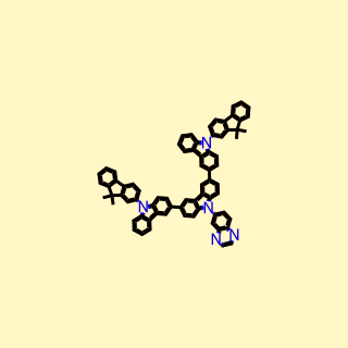 CC1(C)c2ccccc2-c2ccc(-n3c4ccccc4c4cc(-c5ccc6c(c5)c5cc(-c7ccc8c(c7)c7ccccc7n8-c7ccc8c(c7)C(C)(C)c7ccccc7-8)ccc5n6-c5ccc6nccnc6c5)ccc43)cc21